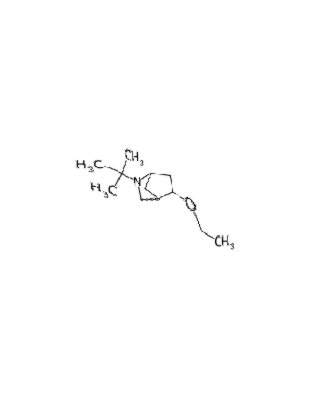 CCOC1CC2CC1CN2C(C)(C)C